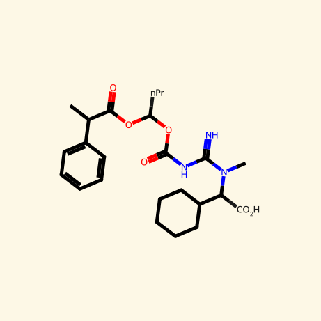 CCCC(OC(=O)NC(=N)N(C)C(C(=O)O)C1CCCCC1)OC(=O)C(C)c1ccccc1